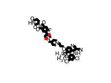 COc1cc(Nc2c(C#N)cnc3cc(OCCCN4CCC(CN5CC6CCC5CN6c5cc6c(cc5F)C(=O)N(C5CCC(=O)NC5=O)C6=O)CC4)c(OC)cc23)c(Cl)cc1Cl